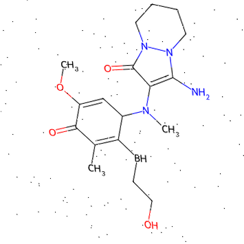 COC1=CC(N(C)c2c(N)n3n(c2=O)CCCC3)C(BCCO)=C(C)C1=O